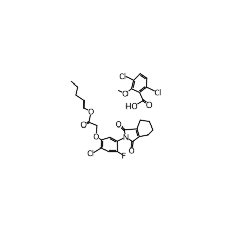 CCCCCOC(=O)COc1cc(N2C(=O)C3=C(CCCC3)C2=O)c(F)cc1Cl.COc1c(Cl)ccc(Cl)c1C(=O)O